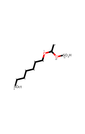 CCCCCCCCCCCCCCOC(C)OS(=O)(=O)O